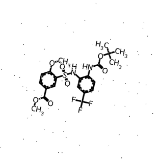 COC(=O)c1ccc(OC)c(S(=O)(=O)Nc2cc(C(F)(F)F)ccc2NC(=O)OC(C)(C)C)c1